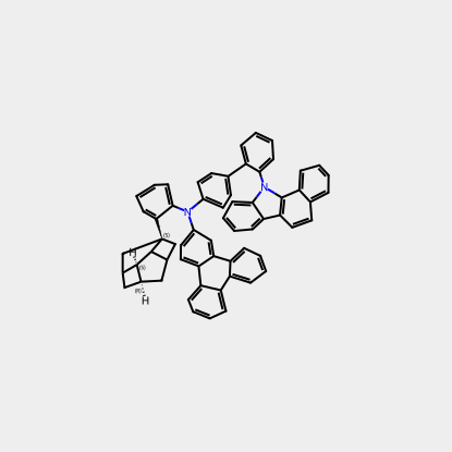 c1ccc(-n2c3ccccc3c3ccc4ccccc4c32)c(-c2ccc(N(c3ccc4c5ccccc5c5ccccc5c4c3)c3ccccc3[C@]34CC5C[C@H]6CC(C3)[C@H]6C54)cc2)c1